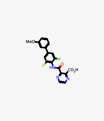 COc1cccc(-c2cc(F)c(NC(=O)c3nccnc3C(=O)O)c(F)c2)c1